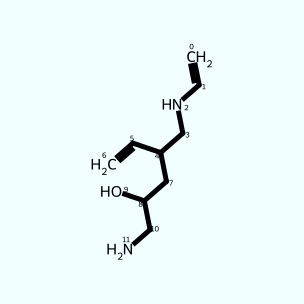 C=CNCC(C=C)CC(O)CN